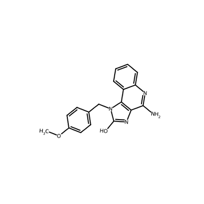 COc1ccc(Cn2c(O)nc3c(N)nc4ccccc4c32)cc1